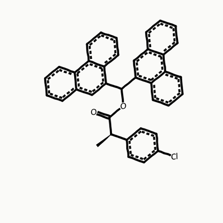 C[C@@H](C(=O)OC(c1cc2ccccc2c2ccccc12)c1cc2ccccc2c2ccccc12)c1ccc(Cl)cc1